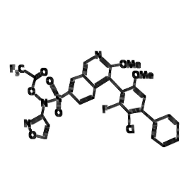 COc1cc(-c2ccccc2)c(Cl)c(F)c1-c1c(OC)ncc2cc(S(=O)(=O)N(OC(=O)C(F)(F)F)c3ccon3)ccc12